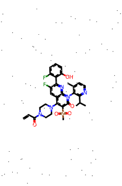 C=CC(=O)N1CCN(c2c(S(C)(=O)=O)c(=O)n(-c3c(C)ccnc3C(C)C)c3nc(-c4c(O)cccc4F)c(F)cc23)CC1